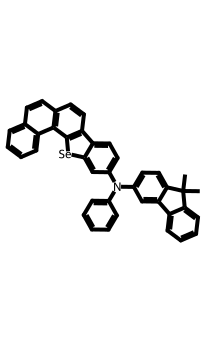 CC1(C)c2ccccc2-c2cc(N(c3ccccc3)c3ccc4c(c3)[se]c3c4ccc4ccc5ccccc5c43)ccc21